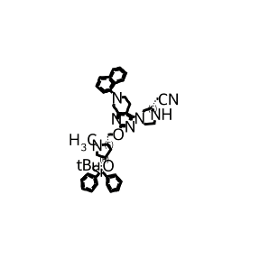 CN1C[C@H](O[Si](c2ccccc2)(c2ccccc2)C(C)(C)C)C[C@H]1COc1nc2c(c(N3CCN[C@@H](CC#N)C3)n1)CCN(c1cccc3ccccc13)C2